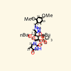 CCCCOC[C@@]1(c2cn(Cc3ccc(OC)cc3OC)nn2)O[C@@H](n2cc(C)c(=O)[nH]c2=O)[C@@H](OS(=O)(=O)C(F)(F)F)C1OCCCC